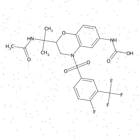 CC(=O)NC(C)(C)C1CN(S(=O)(=O)c2ccc(F)c(C(F)(F)F)c2)c2cc(NC(=O)O)ccc2O1